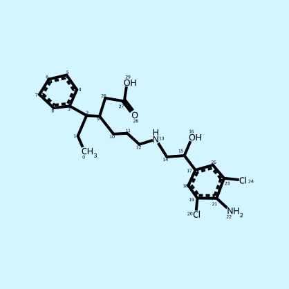 CCC(c1ccccc1)C(CCCNCC(O)c1cc(Cl)c(N)c(Cl)c1)CC(=O)O